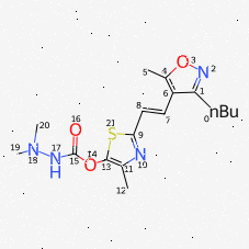 CCCCc1noc(C)c1/C=C/c1nc(C)c(OC(=O)NN(C)C)s1